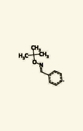 CC(C)(C)ON=Cc1cc[c]cc1